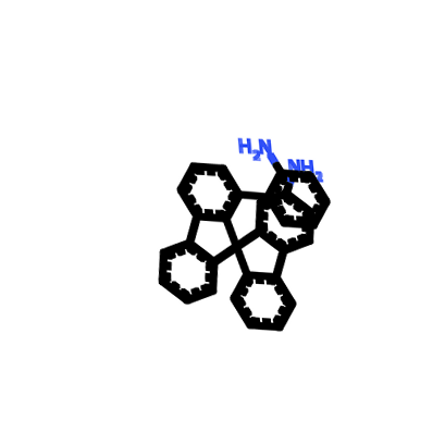 Nc1ccc2c(c1)C1(c3ccccc3-2)c2ccccc2-c2cccc(-c3ccccc3N)c21